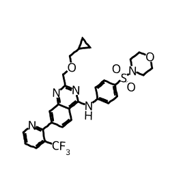 O=S(=O)(c1ccc(Nc2nc(COCC3CC3)nc3cc(-c4ncccc4C(F)(F)F)ccc23)cc1)N1CCOCC1